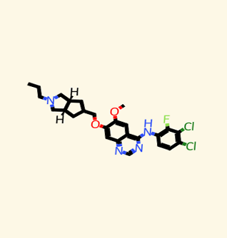 CCCN1C[C@H]2CC(COc3cc4ncnc(Nc5ccc(Cl)c(Cl)c5F)c4cc3OC)C[C@H]2C1